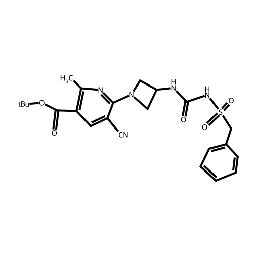 Cc1nc(N2CC(NC(=O)NS(=O)(=O)Cc3ccccc3)C2)c(C#N)cc1C(=O)OC(C)(C)C